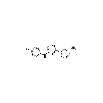 Nc1cccc(-c2ccnc(Nc3ccc(F)cc3)n2)c1